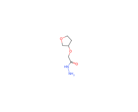 NNC(=O)COC1CCOC1